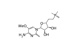 C=C1N=C(N)C(OC)=CN1C1OC(CCP(=C)(C)C)[C@@H](O)[C@H]1O